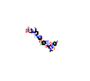 CC(C)n1cc(C(=O)Nc2ccc(Oc3ccnc(Nc4ccc(C#N)c(N5CCN(S(C)(=O)=O)CC5)n4)c3)c(F)c2)c(=O)n(-c2ccc(F)cc2)c1=O